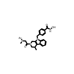 CC(=O)N(C)CC(=O)N1Cc2c(c3ccccc3n2Cc2ccc(C(=O)NO)cc2)C(C)C1